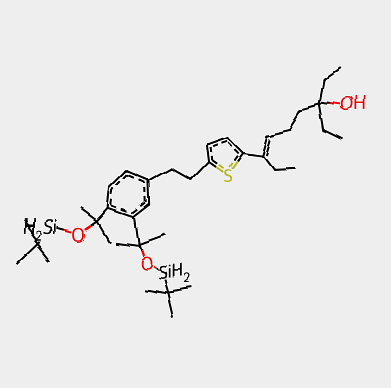 CCC(=CCCC(O)(CC)CC)c1ccc(CCc2ccc(C(C)(C)O[SiH2]C(C)(C)C)c(C(C)(C)O[SiH2]C(C)(C)C)c2)s1